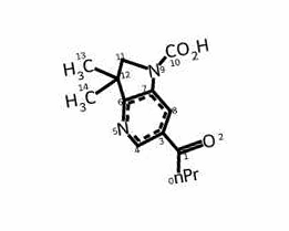 CCCC(=O)c1cnc2c(c1)N(C(=O)O)CC2(C)C